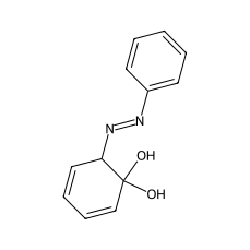 OC1(O)C=CC=CC1N=Nc1ccccc1